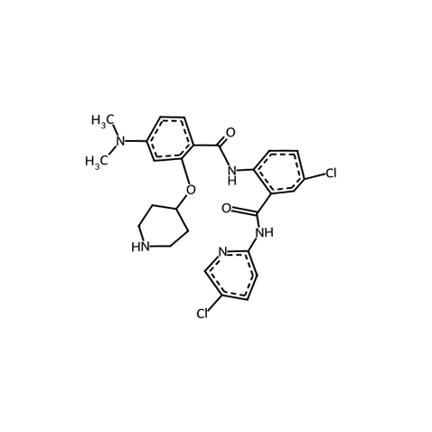 CN(C)c1ccc(C(=O)Nc2ccc(Cl)cc2C(=O)Nc2ccc(Cl)cn2)c(OC2CCNCC2)c1